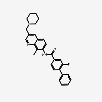 Cc1c(NC(=O)c2ccc(-c3ccccc3)c(F)c2)ccc2cc(CN3CCCCC3)cnc12